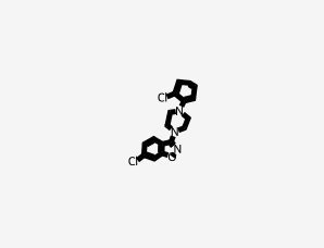 Clc1ccc2c(N3CCN(c4ccccc4Cl)CC3)noc2c1